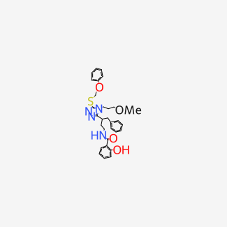 COCCCn1c(SCCOc2ccccc2)nnc1C(CCNC(=O)c1ccccc1O)Cc1ccccc1